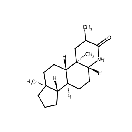 CC1C[C@@]2(C)[C@@H](CC[C@H]3[C@@H]4CCC[C@@]4(C)CC[C@@H]32)NC1=O